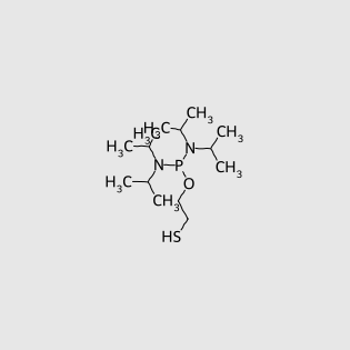 CC(C)N(C(C)C)P(OCCS)N(C(C)C)C(C)C